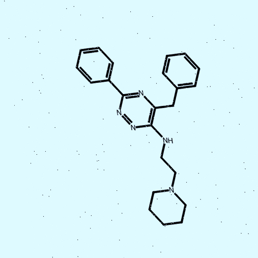 c1ccc(Cc2nc(-c3ccccc3)nnc2NCCN2CCCCC2)cc1